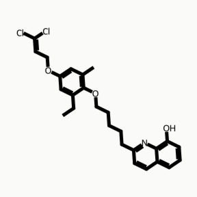 CCc1cc(OCC=C(Cl)Cl)cc(C)c1OCCCCCc1ccc2cccc(O)c2n1